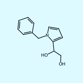 OCC(O)c1cccn1Cc1ccccc1